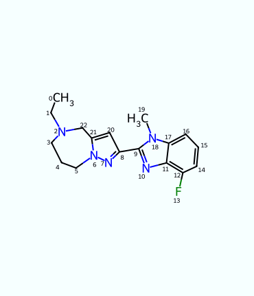 CCN1CCCn2nc(-c3nc4c(F)cccc4n3C)cc2C1